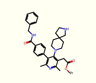 Cc1nc(C)c(-c2ccc(C(=O)NCc3ccccc3)cc2)c(N2CCC3(CCNC3)CC2)c1CC(=O)OC(C)C